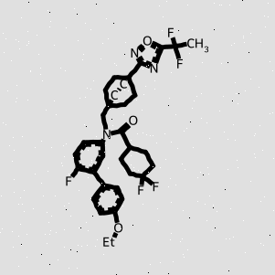 CCOc1ccc(-c2cc(N(CC34CCC(c5noc(C(C)(F)F)n5)(CC3)CC4)C(=O)C3CCC(F)(F)CC3)ccc2F)cc1